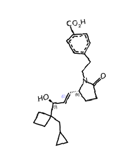 O=C(O)c1ccc(CCN2C(=O)CC[C@@H]2/C=C/[C@H](O)C2(CC3CC3)CCC2)cc1